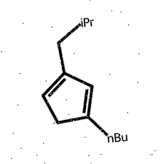 CCCCC1=CC(CC(C)C)=C[CH]1